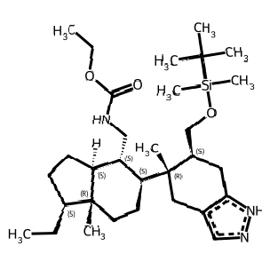 CCOC(=O)NC[C@@H]1[C@@H]([C@@]2(C)Cc3cn[nH]c3C[C@@H]2CO[Si](C)(C)C(C)(C)C)CC[C@]2(C)[C@@H](CC)CC[C@@H]12